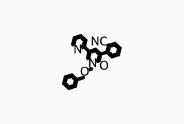 N#Cc1ccccc1-c1cc(-c2ccccn2)cn(COCc2ccccc2)c1=O